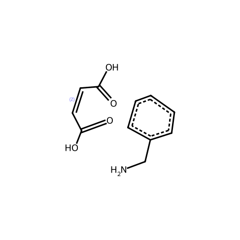 NCc1ccccc1.O=C(O)/C=C\C(=O)O